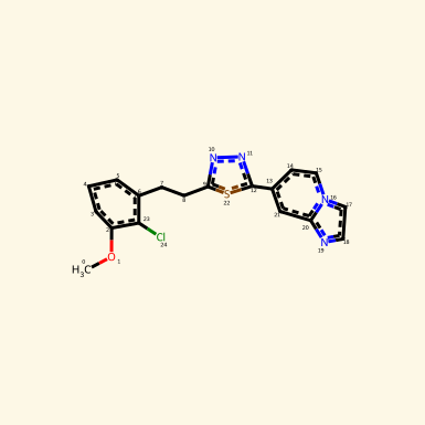 COc1cccc(CCc2nnc(-c3ccn4ccnc4c3)s2)c1Cl